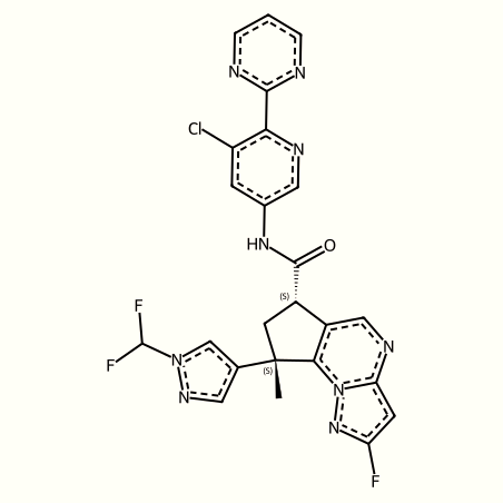 C[C@@]1(c2cnn(C(F)F)c2)C[C@H](C(=O)Nc2cnc(-c3ncccn3)c(Cl)c2)c2cnc3cc(F)nn3c21